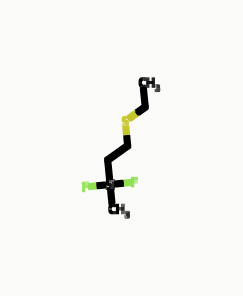 CCSCC[Si](C)(F)F